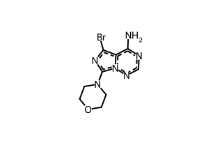 Nc1ncnn2c(N3CCOCC3)nc(Br)c12